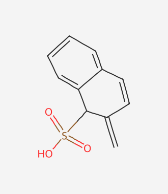 C=C1C=Cc2ccccc2C1S(=O)(=O)O